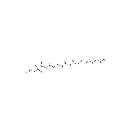 C=CC[N+](C)(C)C(C)CCCCCCCCCCCCCCCC